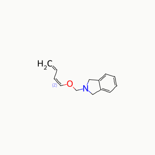 C=C/C=C\OCN1Cc2ccccc2C1